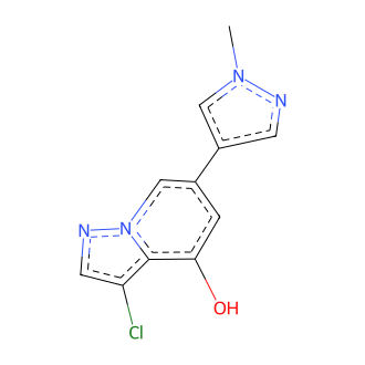 Cn1cc(-c2cc(O)c3c(Cl)cnn3c2)cn1